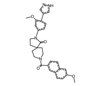 COc1ccc2cc(C(=O)N3CCC4(CC3)CCN(c3ccc(-c5cn[nH]c5)c(OC)c3)C4=O)ccc2c1